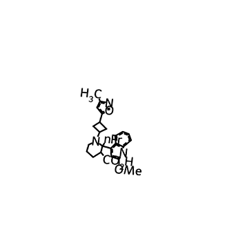 CCCC1(c2cc(OC)nc3ccccc23)C(C(=O)O)CCCN1C1CC(c2cc(C)no2)C1